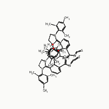 Cc1cc(C)c(N2CCN(c3c(C)cc(C)cc3C)C2=C2C=CC=C([C](N=C=S)=[Ru]=[C](N=C=S)C3=CC=CC(=C4N(c5c(C)cc(C)cc5C)CCN4c4c(C)cc(C)cc4C)C3OC(C)C)C2OC(C)C)c(C)c1